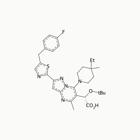 CCC1(C)CCN(c2c([C@H](OC(C)(C)C)C(=O)O)c(C)nc3cc(-c4ncc(Cc5ccc(F)cc5)s4)nn23)CC1